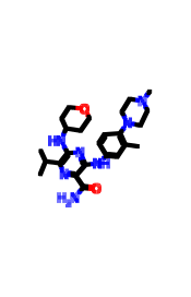 Cc1cc(Nc2nc(NC3CCOCC3)c(C(C)C)nc2C(N)=O)ccc1N1CCN(C)CC1